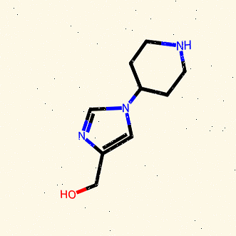 OCc1cn(C2CCNCC2)cn1